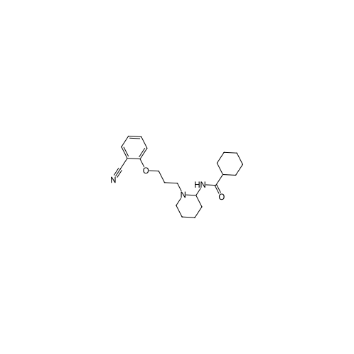 N#Cc1ccccc1OCCCN1CCCCC1NC(=O)C1CCCCC1